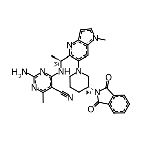 Cc1nc(N)nc(N[C@@H](C)c2nc3ccn(C)c3cc2N2CCC[C@@H](N3C(=O)c4ccccc4C3=O)C2)c1C#N